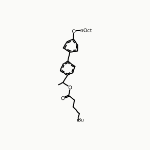 CCCCCCCCOc1ccc(-c2ccc(C(C)OC(=O)CCCC(C)CC)cc2)cc1